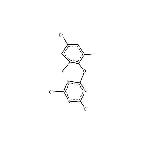 Cc1cc(Br)cc(C)c1Oc1nc(Cl)nc(Cl)n1